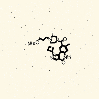 COCCCN1CCN(C(=O)c2cc3c(cc2C)[nH]c(=O)c2cnn(C4CCC4)c23)C[C@H]1C